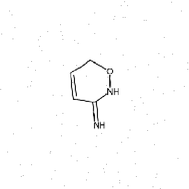 N=C1C=CCON1